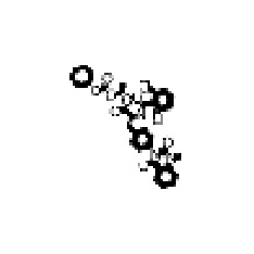 CC(OC(=O)OC1CCCCC1)OC(=O)[C@H](Cc1ccc(-n2c(=O)c3ccccc3n(C)c2=O)cc1)NC(=O)c1c(Cl)cccc1Cl